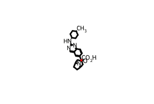 C[C@H]1CC[C@@H](Nc2ncc3cc(C(=O)N4C5CCC4CC(C(=O)O)C5)ccc3n2)CC1